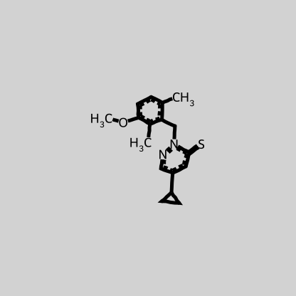 COc1ccc(C)c(Cn2ncc(C3CC3)cc2=S)c1C